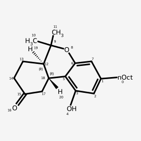 CCCCCCCCc1cc(O)c2c(c1)OC(C)(C)[C@@H]1CCC(=O)C[C@@H]21